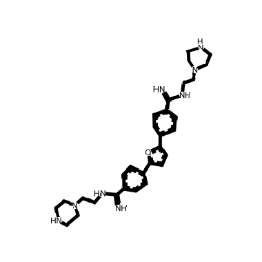 N=C(NCCN1CCNCC1)c1ccc(-c2ccc(-c3ccc(C(=N)NCCN4CCNCC4)cc3)o2)cc1